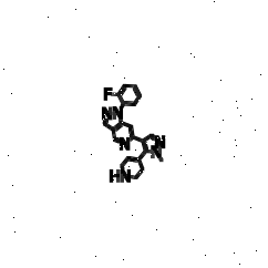 Cn1ncc(-c2cc3c(cn2)cnn3-c2ccccc2F)c1C1=CCNCC1